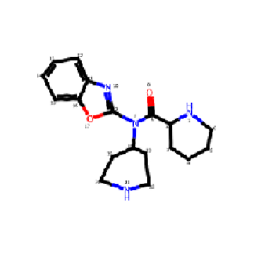 O=C(C1CCCCN1)N(c1nc2ccccc2o1)C1CCNCC1